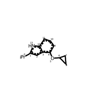 CC(C)c1cc2c(OC3CC3)cccc2[nH]1